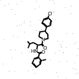 Cc1ccccc1C(=O)NC(CC(C)C)C(=O)N1CCC(c2ccc(Cl)cc2)CC1